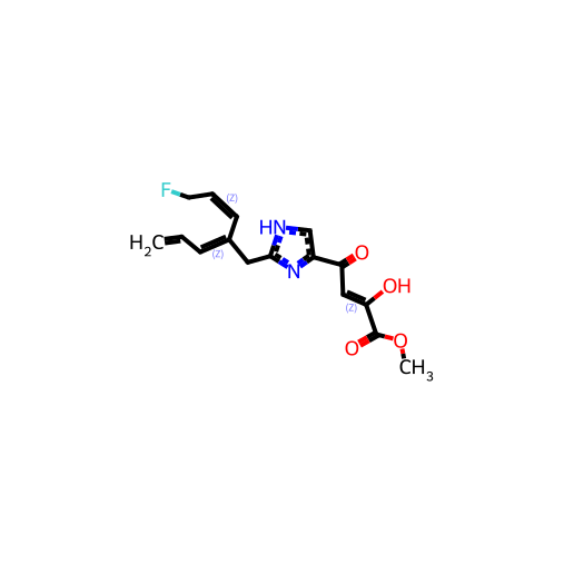 C=C/C=C(\C=C/CF)Cc1nc(C(=O)/C=C(\O)C(=O)OC)c[nH]1